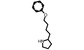 [CH](CCCOc1ccccc1)C1CCCN1